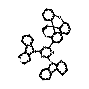 c1ccc2c(c1)Oc1ccccc1C21c2ccccc2Sc2c(-c3nc(-n4c5ccccc5c5ccccc54)nc(-n4c5ccccc5c5ccccc54)n3)cccc21